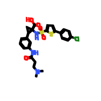 CN(C)CCC(=O)Nc1cccc(C2CC2(NS(=O)(=O)c2ccc(-c3ccc(Cl)cc3)s2)C(=O)O)c1